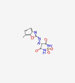 Cc1cccc2nc(N=NC3C(=O)NS(=O)(=O)NC3=O)oc12